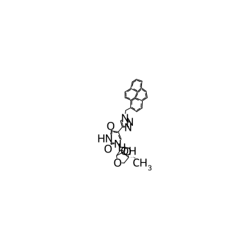 CC[C@@]12COC([C@H](n3cc(-c4cn(Cc5ccc6ccc7cccc8ccc5c6c78)nn4)c(=O)[nH]c3=O)O1)[C@H]2O